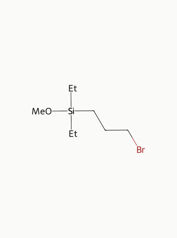 CC[Si](CC)(CCCBr)OC